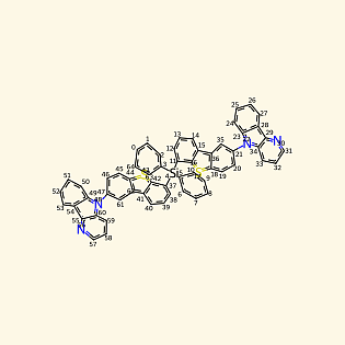 c1ccc([Si](c2ccccc2)(c2cccc3c2sc2ccc(-n4c5ccccc5c5ncccc54)cc23)c2cccc3c2sc2ccc(-n4c5ccccc5c5ncccc54)cc23)cc1